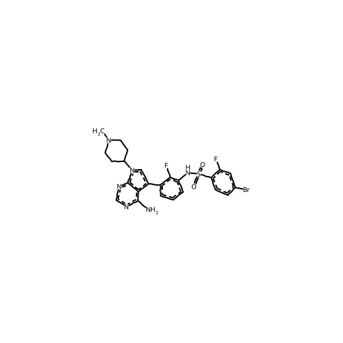 CN1CCC(n2cc(-c3cccc(NS(=O)(=O)c4ccc(Br)cc4F)c3F)c3c(N)ncnc32)CC1